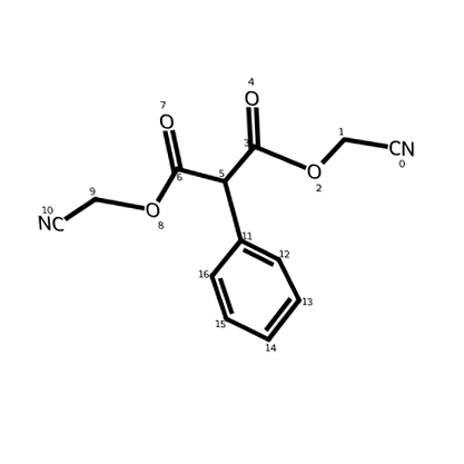 N#CCOC(=O)C(C(=O)OCC#N)c1ccccc1